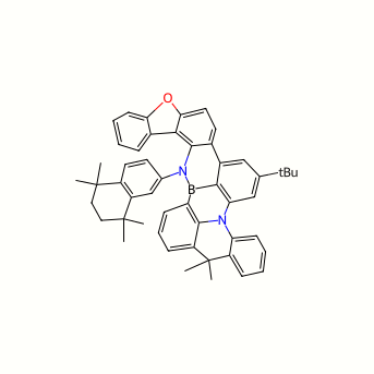 CC(C)(C)c1cc2c3c(c1)N1c4ccccc4C(C)(C)c4cccc(c41)B3N(c1ccc3c(c1)C(C)(C)CCC3(C)C)c1c-2ccc2oc3ccccc3c12